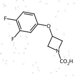 O=C(O)N1CC(Oc2ccc(F)c(F)c2)C1